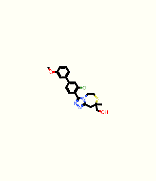 COc1cccc(-c2ccc(-c3nnc4n3CCSC(C)(CO)C4)c(Cl)c2)c1